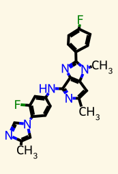 Cc1cn(-c2ccc(Nc3nc(C)cc4c3nc(-c3ccc(F)cc3)n4C)cc2F)cn1